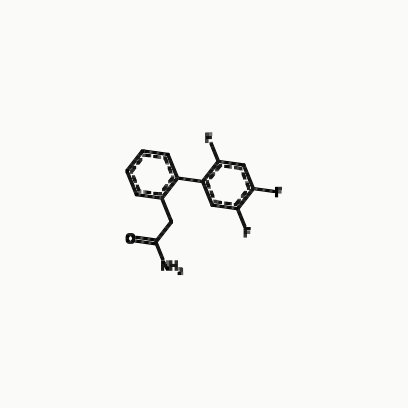 NC(=O)Cc1ccccc1-c1cc(F)c(F)cc1F